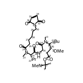 CC[C@H](C)[C@@H]([C@@H](CC(=O)OC(C)(C)NC)OC)N(C)C(=O)CNC(=O)C(C(C)C)N(C)C(=O)CCCCCN1C(=O)C=CC1=O